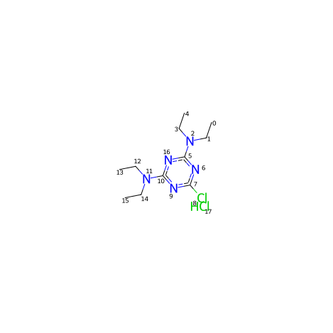 CCN(CC)c1nc(Cl)nc(N(CC)CC)n1.Cl